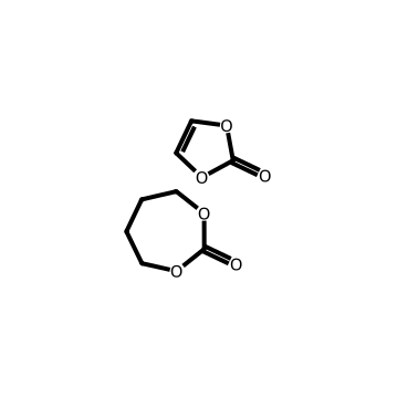 O=C1OCCCCO1.O=c1occo1